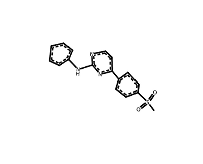 CS(=O)(=O)c1ccc(-c2ccnc(Nc3ccccc3)n2)cc1